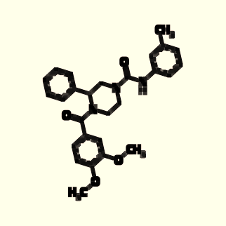 COc1ccc(C(=O)N2CCN(C(=O)Nc3cccc(C)c3)CC2c2ccccc2)cc1OC